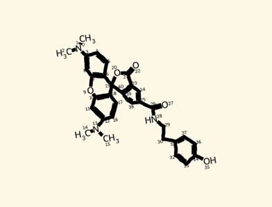 CN(C)c1ccc2c(c1)Oc1cc(N(C)C)ccc1C21OC(=O)c2cc(C(=O)NCCc3ccc(O)cc3)ccc21